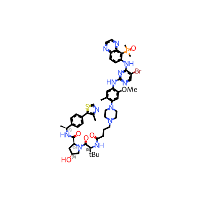 COc1cc(N2CCN(CCCC(=O)N[C@H](C(=O)N3C[C@H](O)C[C@H]3C(=O)N[C@@H](C)c3ccc(-c4scnc4C)cc3)C(C)(C)C)CC2)c(C)cc1Nc1ncc(Br)c(Nc2ccc3nccnc3c2P(C)(C)=O)n1